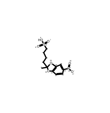 CC1(CCCCS(=O)(=O)O)Oc2ccc([N+](=O)[O-])cc2O1